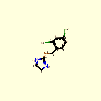 Fc1ccc(CSC2=NCC=N2)c(F)c1